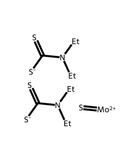 CCN(CC)C(=S)[S-].CCN(CC)C(=S)[S-].[S]=[Mo+2]